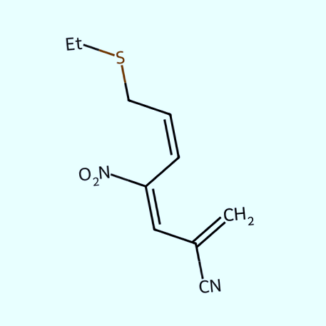 C=C(C#N)/C=C(\C=C/CSCC)[N+](=O)[O-]